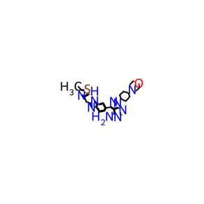 Cc1nc(Cc2nc3ccc(-c4nn(C5CCC(N6CCOCC6)CC5)c5ncnc(N)c45)cc3[nH]2)cs1